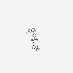 O=C(/C=C/c1cccc(C(F)(F)F)c1)Nc1ccc(C2=NCCc3ccc(F)cc32)cc1